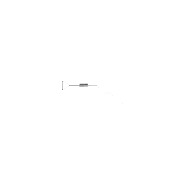 ClC(Cl)(Cl)COCC#CC1CC1